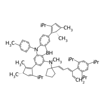 C=C/C(=C\C=C\C1(N(C)c2cc(C3=C(C)[C@@H](C)C=C3C(C)C)cc3c2Bc2cc(C4=C(C(C)C)C=C(C)[C@@H]4C)ccc2N3c2ccc(C)cc2)CCCC1)c1c(C(C)C)cc(C(C)C)cc1C(C)C